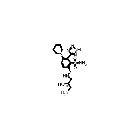 NC[C@@H](O)CNSc1ccc(N2CCCCC2)c(-c2nn[nH]n2)c1S(N)(=O)=O